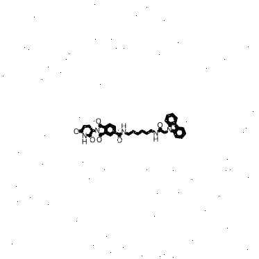 O=C(Cn1c2ccccc2c2ccccc21)NCCCCCCNC(=O)c1ccc2c(c1)C(=O)N(C1CCC(=O)NC1=O)C2=O